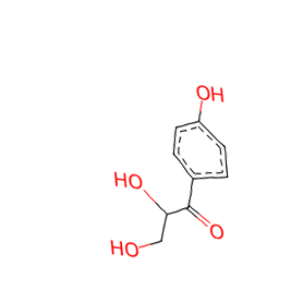 O=C(c1ccc(O)cc1)C(O)CO